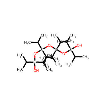 CC(C)[Si](O)(O[Si](O[Si](O[Si](O)(C(C)C)C(C)C)(C(C)C)C(C)C)(C(C)C)C(C)C)C(C)C